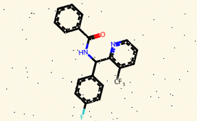 O=C(NC(c1ccc(F)cc1)c1ncccc1C(F)(F)F)c1ccccc1